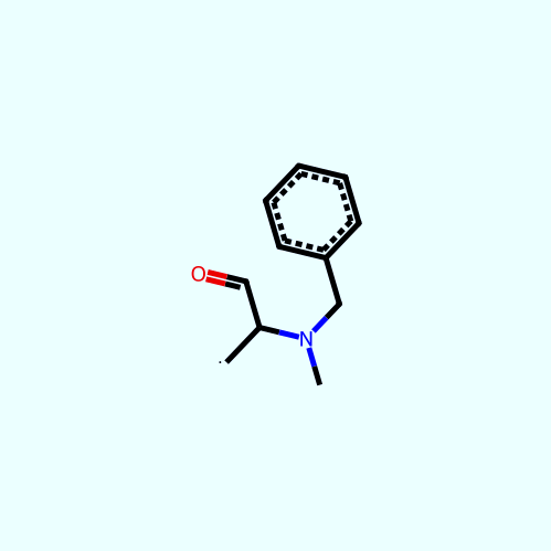 [CH2]C(C=O)N(C)Cc1ccccc1